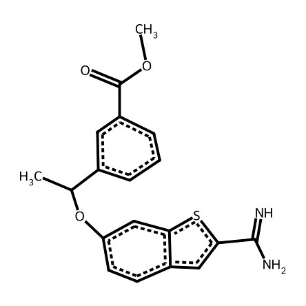 COC(=O)c1cccc(C(C)Oc2ccc3cc(C(=N)N)sc3c2)c1